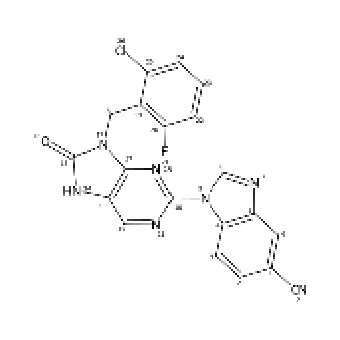 N#Cc1ccc2c(c1)ncn2-c1ncc2[nH]c(=O)n(Cc3c(F)cccc3Cl)c2n1